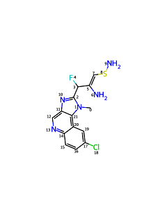 Cn1c(C(F)/C(N)=C/SN)nc2cnc3ccc(Cl)cc3c21